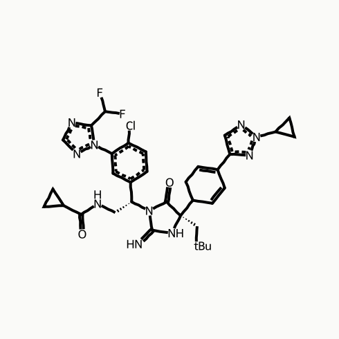 CC(C)(C)C[C@]1(C2C=CC(c3cnn(C4CC4)n3)=CC2)NC(=N)N([C@H](CNC(=O)C2CC2)c2ccc(Cl)c(-n3ncnc3C(F)F)c2)C1=O